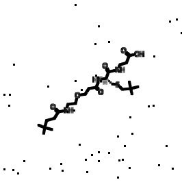 CC(C)(C)CCC(=O)NCCOCCC(=O)N[C@@H](CSCC(C)(C)C)C(=O)NCCC(=O)O